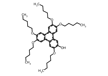 CCCCCOc1cc2c(cc1O)c1cc(OCCCCC)c(OCCCCC)cc1c1cc(OCCCCC)c(OCCCCC)cc21